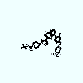 Cc1cc(CN2CCS(O)(O)CC2)ccc1-c1cccc2ncc(-c3cnn(C4CCN(C(=O)OC(C)(C)C)CC4)c3)nc12